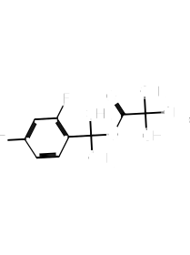 CC(C)(C)C(=O)OC(C)(C)c1ccc(F)cc1F